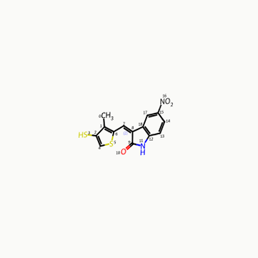 Cc1c(S)csc1/C=C1\C(=O)Nc2ccc([N+](=O)[O-])cc21